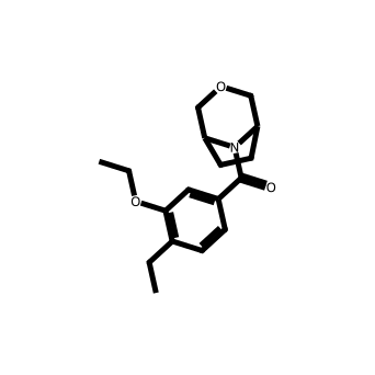 CCOc1cc(C(=O)N2C3CCC2COC3)ccc1CC